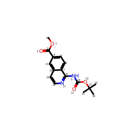 COC(=O)c1ccc2c(NC(=O)OC(C)(C)C)nccc2c1